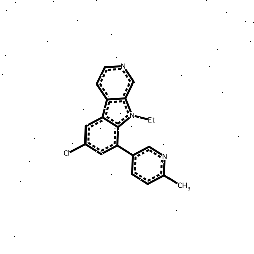 CCn1c2cnccc2c2cc(Cl)cc(-c3ccc(C)nc3)c21